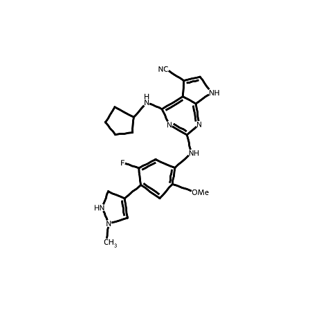 COc1cc(C2=CN(C)NC2)c(F)cc1Nc1nc(NC2CCCC2)c2c(C#N)c[nH]c2n1